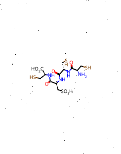 N[C@@H](CS)C(=O)N[C@@H](CS)C(=O)N[C@@H](CS(=O)(=O)O)C(=O)N[C@@H](CS)C(=O)O